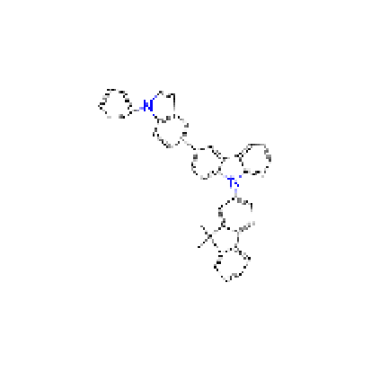 CC1(C)c2ccccc2-c2ccc(-n3c4ccccc4c4cc(-c5ccc6c(ccn6-c6ccccc6)c5)ccc43)cc21